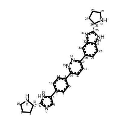 c1cc(-c2cnc([C@@H]3CCCN3)[nH]2)ccc1-c1ccc(-c2ccc3[nH]c([C@@H]4CCCN4)nc3c2)nn1